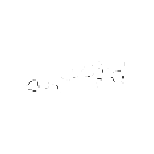 O=C(NC[C@H]1COC2(C=C(C(=O)O)C(S(=O)(=O)Cc3ccc(F)cc3Cl)CC2)O1)OCc1ccccc1